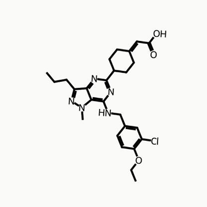 CCCc1nn(C)c2c(NCc3ccc(OCC)c(Cl)c3)nc(C3CCC(=CC(=O)O)CC3)nc12